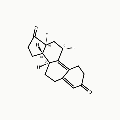 C[C@H]1C[C@]2(C)C(=O)CC[C@H]2[C@@H]2CCC3=CC(=O)CCC3=C21